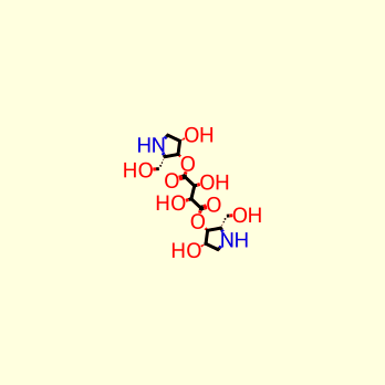 O=C(O[C@H]1[C@H](CO)NC[C@@H]1O)C(O)C(O)C(=O)O[C@H]1[C@H](CO)NC[C@@H]1O